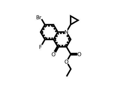 CCOC(=O)c1cn(C2CC2)c2cc(Br)cc(F)c2c1=O